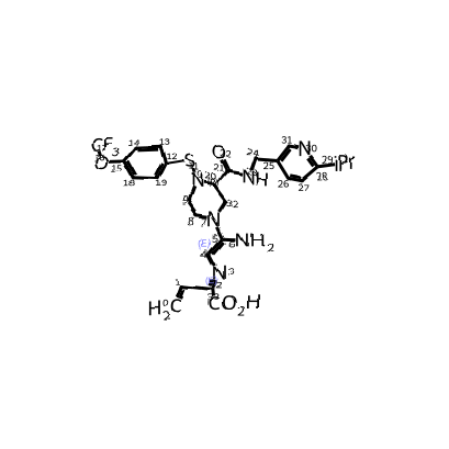 C=C/C(=N\C=C(/N)N1CCN(Sc2ccc(OC(F)(F)F)cc2)[C@@H](C(=O)NCc2ccc(C(C)C)nc2)C1)C(=O)O